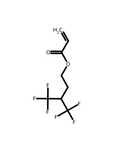 C=CC(=O)OCCC(C(F)(F)F)C(F)(F)F